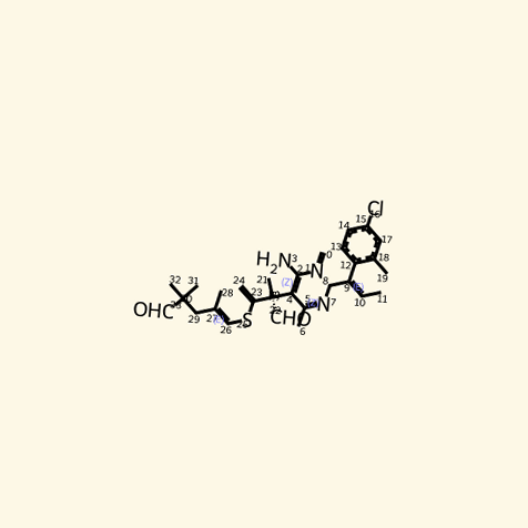 C=N/C(N)=C(\C(C)=N/C/C(=C/C)c1ccc(Cl)cc1C)[C@@](C)(C=O)C(=C)S/C=C(\C)CC(C)(C)C=O